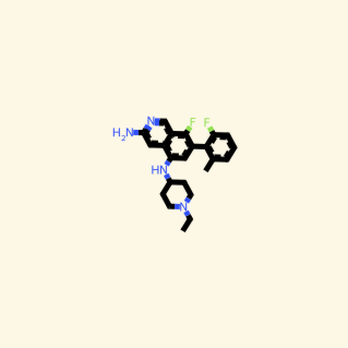 CCN1CCC(Nc2cc(-c3c(C)cccc3F)c(F)c3cnc(N)cc23)CC1